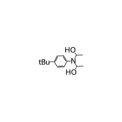 CC(O)N(c1ccc(C(C)(C)C)cc1)C(C)O